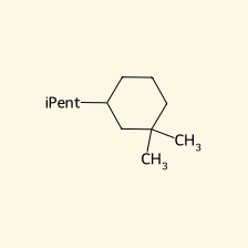 CCCC(C)C1CCCC(C)(C)C1